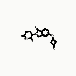 O=C1CC(Oc2ccc3c(c2)CN(C2CCC(=O)NC2=O)C3=O)C1